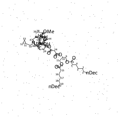 CCCCCCCCCCCCCCCC(=O)OCC(COC(=O)CCCCCCCCCCCCCCC)OC(=O)CC(=O)Oc1ccc2c3c1O[C@H]1[C@]4(OC)CC[C@@]5(C[C@@H]4[C@](C)(O)C(C)(C)C)C(C2)N(CC2CC2)CC[C@]315